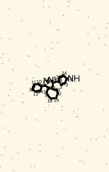 N=C1C=CC(C2NN=C(c3ccccc3)C3CCCCC/C=C\32)C=C1